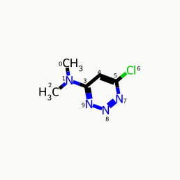 CN(C)c1cc(Cl)nnn1